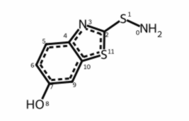 NSc1nc2ccc(O)cc2s1